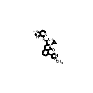 C[C@H](Nc1nccc2[nH]cnc12)c1cc2cccc(-c3cnn(C)c3)c2c(=O)n1C1CC1